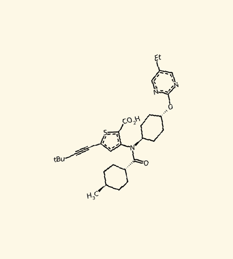 CCc1cnc(O[C@H]2CC[C@H](N(c3cc(C#CC(C)(C)C)sc3C(=O)O)C(=O)[C@H]3CC[C@H](C)CC3)CC2)nc1